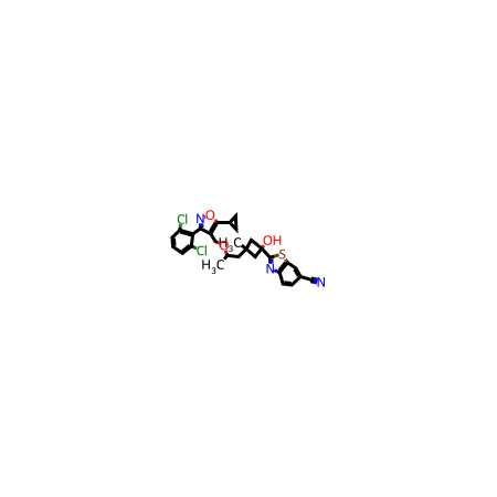 CC(CC1(C)CC(O)(c2nc3ccc(C#N)cc3s2)C1)OCc1c(-c2c(Cl)cccc2Cl)noc1C1CC1